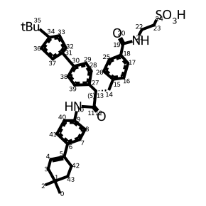 CC1(C)CC=C(c2ccc(NC(=O)[C@@H](Cc3ccc(C(=O)NCCS(=O)(=O)O)cc3)c3ccc(-c4ccc(C(C)(C)C)cc4)cc3)cc2)CC1